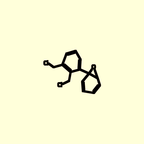 ClCc1cccc(C23C=CC=CC2O3)c1CCl